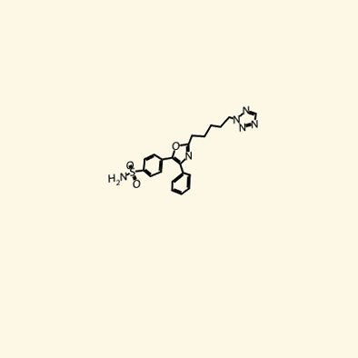 NS(=O)(=O)c1ccc(-c2oc(CCCCCn3ncnn3)nc2-c2ccccc2)cc1